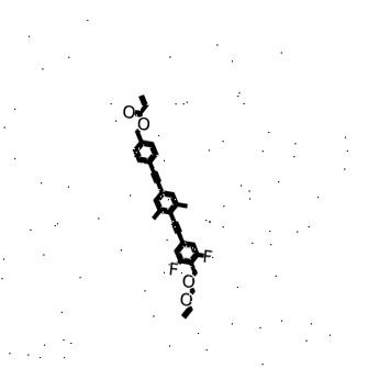 C=COCOCc1c(F)cc(C#Cc2c(C)cc(C#Cc3ccc(COC(=O)C=C)cc3)cc2C)cc1F